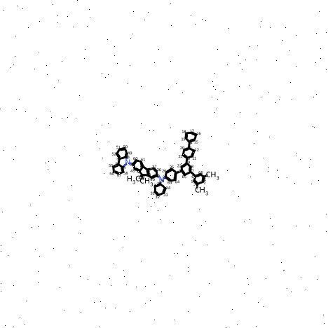 Cc1cc(C)cc(-c2cc(-c3ccc(-c4ccccc4)cc3)cc(-c3ccc(N(c4ccccc4)c4ccc5c(c4)C(C)(C)c4cc(-n6c7ccccc7c7ccccc76)ccc4-5)cc3)c2)c1